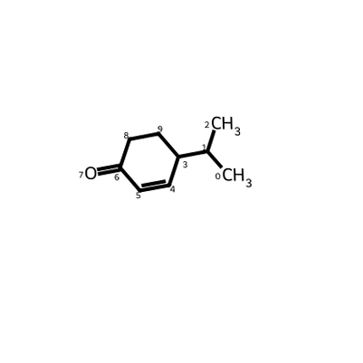 CC(C)C1C=CC(=O)CC1